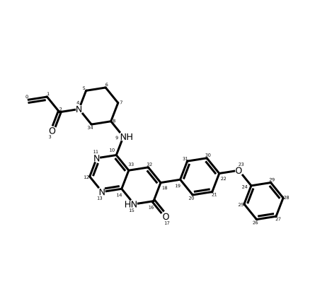 C=CC(=O)N1CCCC(Nc2ncnc3[nH]c(=O)c(-c4ccc(Oc5ccccc5)cc4)cc23)C1